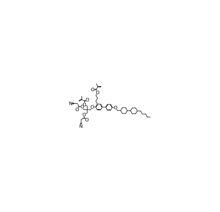 C=C(C)C(=O)OCCCc1cc(-c2ccc(OCC3CCC(C4CCC(CCCCC)CC4)CC3)cc2)ccc1OCC(COC(=O)CC#N)(COC(=O)CC#N)COC(=O)C(=C)C